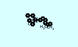 CC1(C)c2ccccc2-c2c1ccc1c2ccc2ccc3cc(-c4nc(-c5cccc(-c6ccccc6)c5)nc(-c5cccc6oc7ccccc7c56)n4)ccc3c21